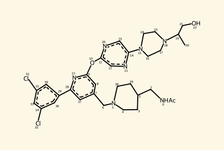 CC(=O)NCC1CCN(Cc2cc(Oc3cnc(N4CCN(C(C)CO)CC4)cn3)nc(-c3cc(Cl)cc(Cl)c3)c2)CC1